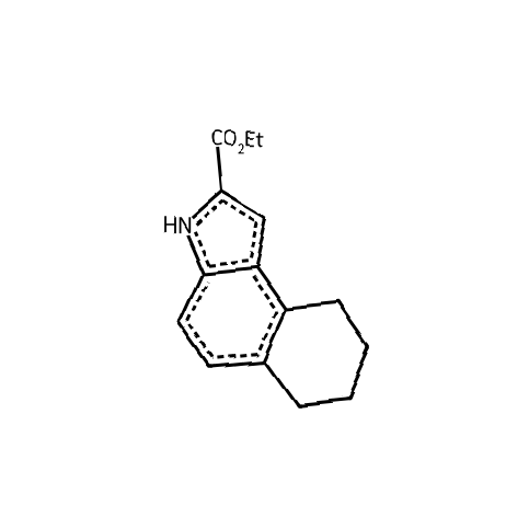 CCOC(=O)c1cc2c3c(ccc2[nH]1)CCCC3